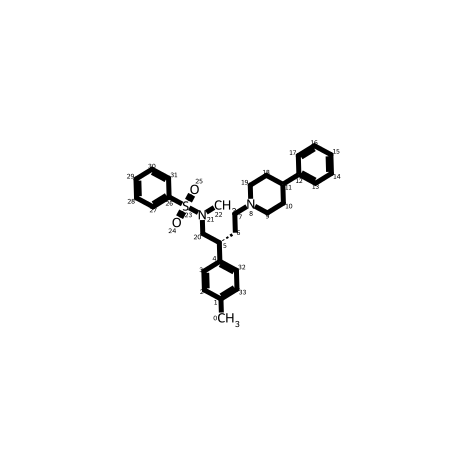 Cc1ccc([C@@H](CCN2CCC(c3ccccc3)CC2)CN(C)S(=O)(=O)c2ccccc2)cc1